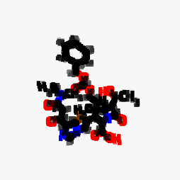 C[C@@H](O)[C@H]1C(=O)N2C(C(=O)O)=C(c3cn4cnc(C(=O)CC(=O)N(C)C)c4s3)C(C)(CCOC(=O)OCC3CCCCC3)[C@@H]12